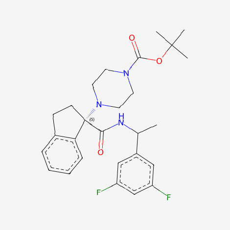 CC(NC(=O)[C@]1(N2CCN(C(=O)OC(C)(C)C)CC2)CCc2ccccc21)c1cc(F)cc(F)c1